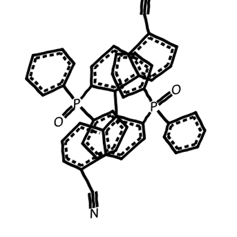 N#Cc1cccc2c(-c3c(P(=O)(c4ccccc4)c4ccccc4)ccc4c(C#N)cccc34)c(P(=O)(c3ccccc3)c3ccccc3)ccc12